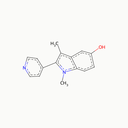 Cc1c(-c2ccncc2)n(C)c2ccc(O)cc12